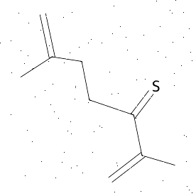 C=C(C)CCC(=S)C(=C)C